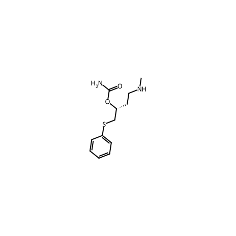 CNCC[C@H](CSc1ccccc1)OC(N)=O